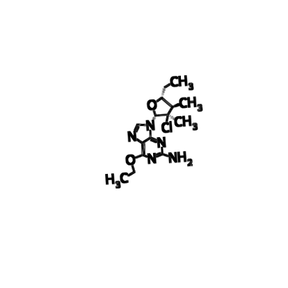 CCOc1nc(N)nc2c1ncn2[C@@H]1O[C@H](CC)[C@@H](C)[C@@]1(C)Cl